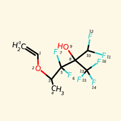 C=COC(C)C(F)(F)C(O)(C(F)F)C(F)(F)F